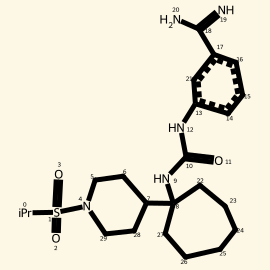 CC(C)S(=O)(=O)N1CCC(C2(NC(=O)Nc3cccc(C(=N)N)c3)CCCCCC2)CC1